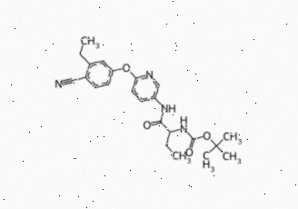 CCc1cc(Oc2ccc(NC(=O)C(CC)NC(=O)OC(C)(C)C)cn2)ccc1C#N